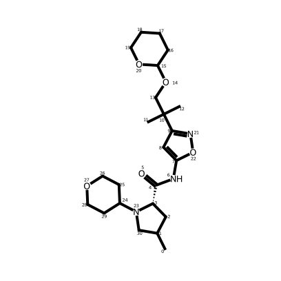 CC1C[C@@H](C(=O)Nc2cc(C(C)(C)COC3CCCCO3)no2)N(C2CCOCC2)C1